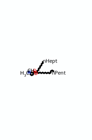 CCCCC/C=C\C/C=C\CCCCCCCCC(CCCCCCC/C=C/CCCCCCC)OC(=O)C1CCCC(N(C)C)C1